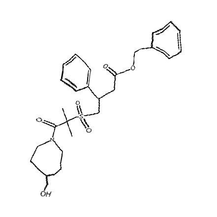 CC(C)(C(=O)N1CCC(O)CC1)S(=O)(=O)CC(CC(=O)OCc1ccccc1)c1ccccc1